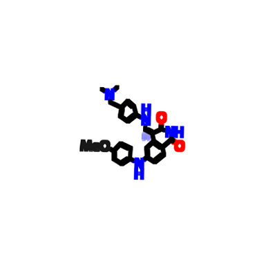 COc1ccc(Nc2ccc3c(c2)/C(=C/Nc2ccc(CN(C)C)cc2)C(=O)NC3=O)cc1